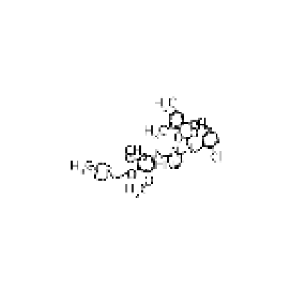 COc1cc(Nc2nccc(N(Cc3cc(Cl)ccc3Cl)C(=O)Oc3c(C)cc(C)cc3C)n2)cc(OC)c1OCCN1CCN(C)CC1